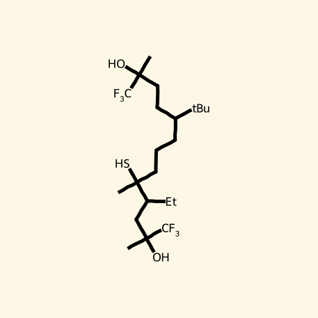 CCC(CC(C)(O)C(F)(F)F)C(C)(S)CCCC(CCC(C)(O)C(F)(F)F)C(C)(C)C